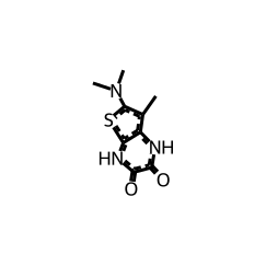 Cc1c(N(C)C)sc2[nH]c(=O)c(=O)[nH]c12